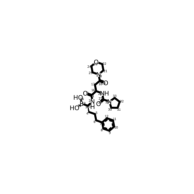 O=C(N[C@@H](CCCc1ccccc1)B(O)O)C(CC(=O)N1CCOCC1)NC(=O)N1CCCC1